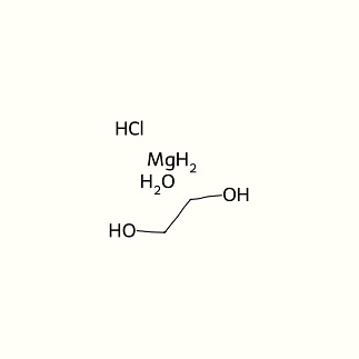 Cl.O.OCCO.[MgH2]